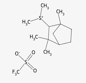 C[S+](C)C1C2(C)CCC(C2)C1(C)C.O=S(=O)([O-])C(F)(F)F